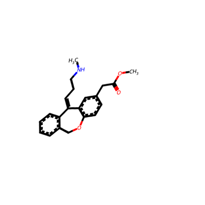 CNCCC=C1c2ccccc2COc2ccc(CC(=O)OC)cc21